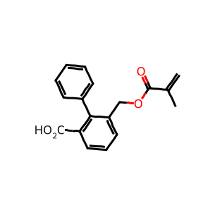 C=C(C)C(=O)OCc1cccc(C(=O)O)c1-c1ccccc1